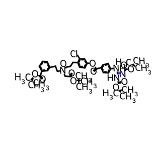 CC(C)(C)OC(=O)CN(CCc1cccc(C(=O)OC(C)(C)C)c1)C(=O)CCc1ccc(OC(=O)c2ccc(N/C(=N\C(=O)OC(C)(C)C)NC(=O)OC(C)(C)C)cc2)cc1Cl